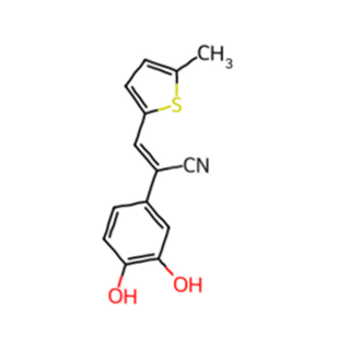 Cc1ccc(C=C(C#N)c2ccc(O)c(O)c2)s1